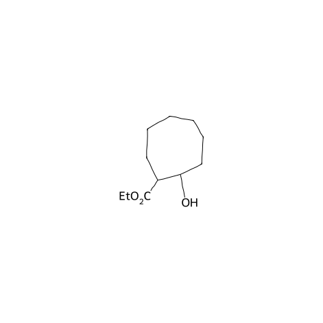 CCOC(=O)C1CCCCCCC1O